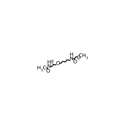 COCC(=O)NCCCCCOCC(F)CNC(C)=O